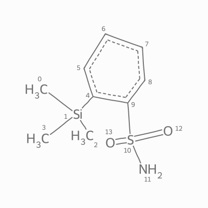 C[Si](C)(C)c1ccccc1S(N)(=O)=O